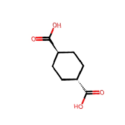 O=C(O)[C@H]1CC[C@H](C(=O)O)CC1